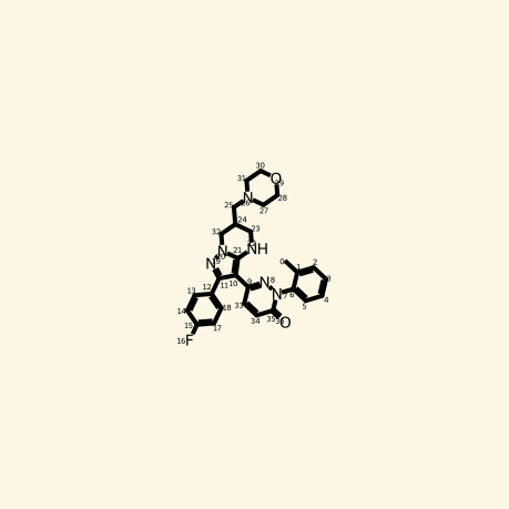 Cc1ccccc1-n1nc(-c2c(-c3ccc(F)cc3)nn3c2NCC(CN2CCOCC2)C3)ccc1=O